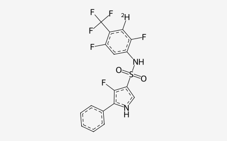 [2H]c1c(F)c(NS(=O)(=O)c2c[nH]c(-c3ccccc3)c2F)cc(F)c1C(F)(F)F